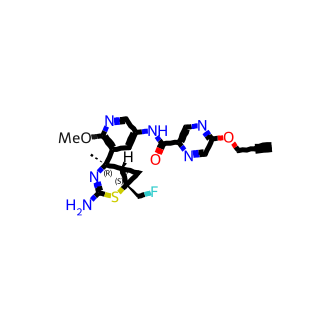 C#CCOc1cnc(C(=O)Nc2cnc(OC)c([C@]3(C)N=C(N)S[C@@]4(CF)C[C@H]43)c2)cn1